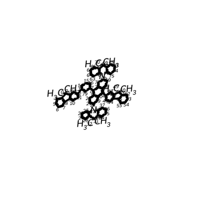 CC1(C)c2ccccc2-c2ccc(-c3cccc(-c4c5ccc(N6c7ccccc7C(C)(C)c7ccccc76)cc5c(-c5ccc6c(c5)C(C)(C)c5ccccc5-6)c5ccc(N6c7ccccc7C(C)(C)c7ccccc76)cc45)c3)cc21